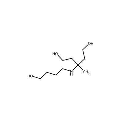 CC(CCO)(CCO)NCCCCO